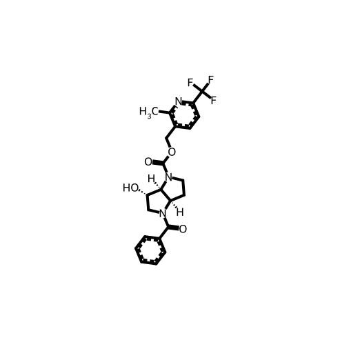 Cc1nc(C(F)(F)F)ccc1COC(=O)N1CC[C@@H]2[C@H]1[C@@H](O)CN2C(=O)c1ccccc1